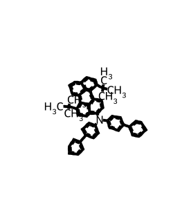 CC(C)(C)c1ccc2cccc3c4c(C(C)(C)C)ccc5c(N(c6ccc(-c7ccccc7)cc6)c6ccc(-c7ccccc7)cc6)ccc(c1c23)c54